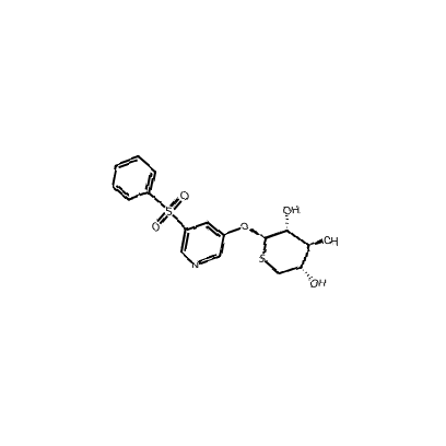 O=S(=O)(c1ccccc1)c1cncc(O[C@@H]2SC[C@@H](O)[C@H](O)[C@H]2O)c1